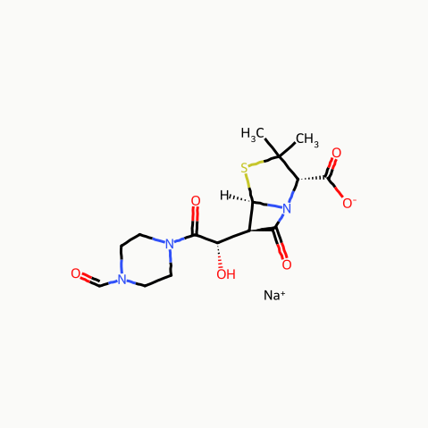 CC1(C)S[C@@H]2[C@H]([C@H](O)C(=O)N3CCN(C=O)CC3)C(=O)N2[C@H]1C(=O)[O-].[Na+]